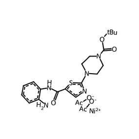 CC(=O)[O-].CC(=O)[O-].CC(C)(C)OC(=O)N1CCN(c2ncc(C(=O)Nc3ccccc3N)s2)CC1.[Ni+2]